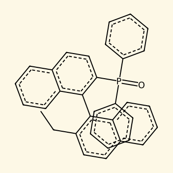 CCc1ccc2ccccc2c1-c1c(P(=O)(c2ccccc2)c2ccccc2)ccc2ccccc12